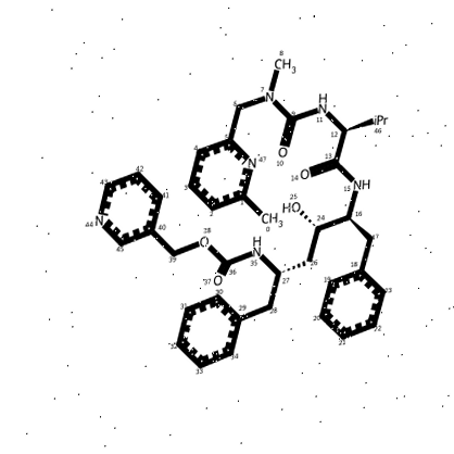 Cc1cccc(CN(C)C(=O)N[C@H](C(=O)N[C@@H](Cc2ccccc2)[C@@H](O)C[C@H](Cc2ccccc2)NC(=O)OCc2cccnc2)C(C)C)n1